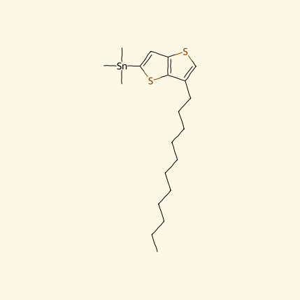 CCCCCCCCCCCc1csc2c[c]([Sn]([CH3])([CH3])[CH3])sc12